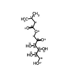 CC(C)CC(=O)OCC(=O)[C@H](O)[C@@H](O)[C@H](O)CO